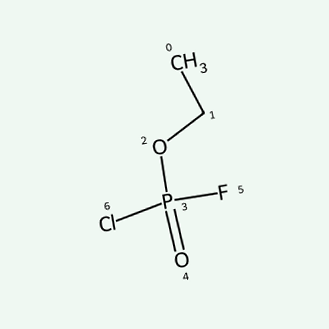 CCOP(=O)(F)Cl